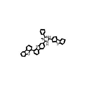 CN1C(c2ccccc2)NC(c2ccc3c(c2)sc2ccccc23)NC1c1ccc2c(c1)sc1c(-c3cccc4c3oc3ccccc34)cccc12